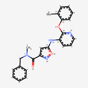 CN(Cc1ccccc1)C(=O)c1cc(Nc2cccnc2Oc2ccccc2C(C)(C)C)on1